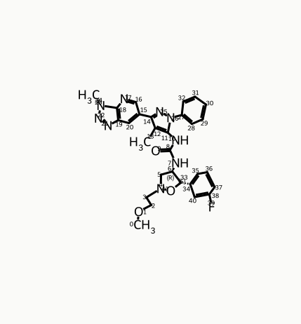 COCCN1C[C@@H](NC(=O)Nc2c(C)c(-c3cnc4c(c3)nnn4C)nn2-c2ccccc2)[C@H](c2cccc(F)c2)O1